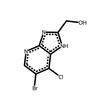 OCc1nc2ncc(Br)c(Cl)c2[nH]1